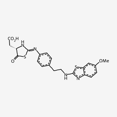 COc1ccc2nc(NCCc3ccc(/N=C4/N[C@@H](CC(=O)O)C(=O)S4)cc3)sc2c1